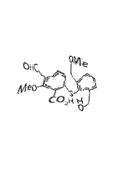 COCc1cccc(CO)c1Sc1ccc(C=O)c(OC)c1C(=O)O